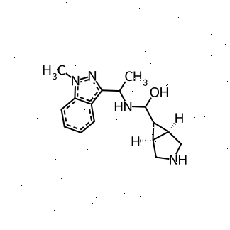 CC(NC(O)C1[C@H]2CNC[C@@H]12)c1nn(C)c2ccccc12